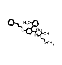 CSCC[C@H](NC(=O)c1ccc(OCC=Cc2ccccc2)cc1-c1ccccc1C)C(=O)O